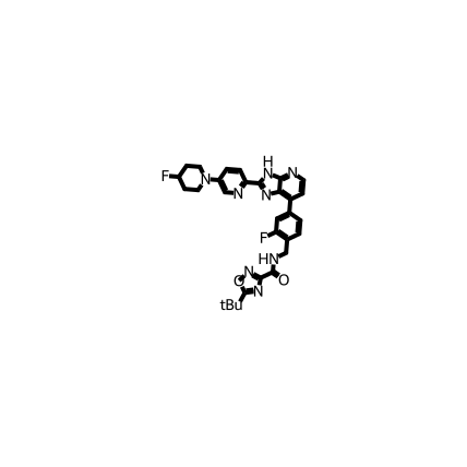 CC(C)(C)c1nc(C(=O)NCc2ccc(-c3ccnc4[nH]c(-c5ccc(N6CCC(F)CC6)cn5)nc34)cc2F)no1